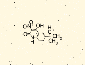 CC(C)(C)c1ccc2[nH]c(=O)c([N+](=O)[O-])c(O)c2c1